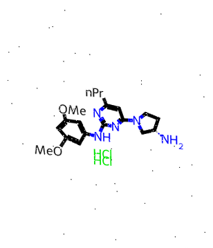 CCCc1cc(N2CC[C@H](N)C2)nc(Nc2cc(OC)cc(OC)c2)n1.Cl.Cl